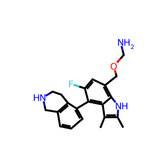 Cc1[nH]c2c(COCN)cc(F)c(-c3cccc4c3CCNC4)c2c1C